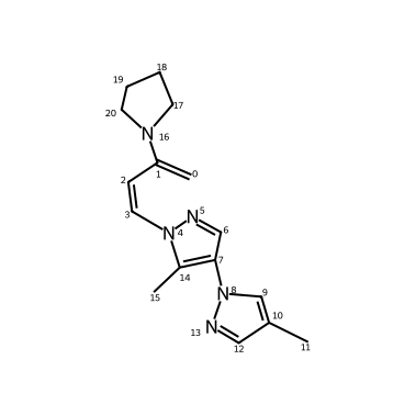 C=C(/C=C\n1ncc(-n2cc(C)cn2)c1C)N1CCCC1